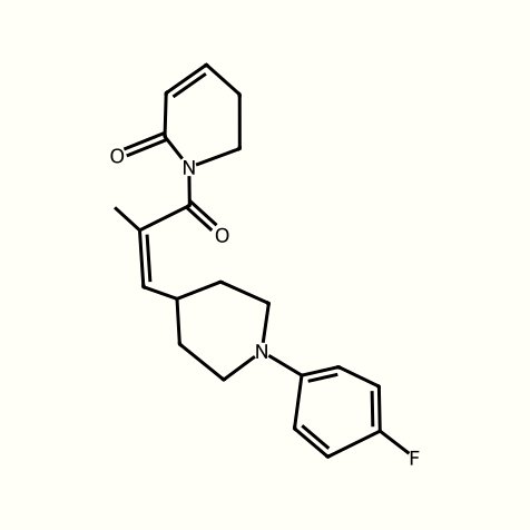 CC(=CC1CCN(c2ccc(F)cc2)CC1)C(=O)N1CCC=CC1=O